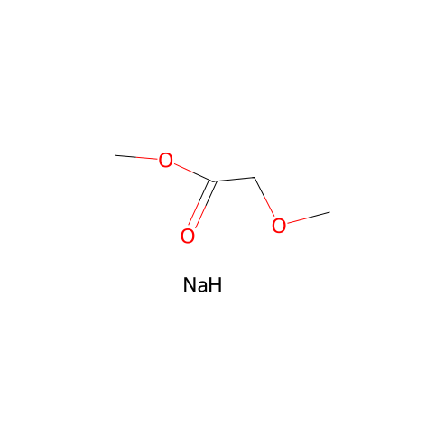 COCC(=O)OC.[NaH]